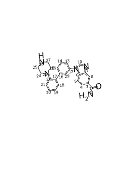 NC(=O)c1ccc2c(c1)ncn2-c1cccc(-c2ccccc2N2CCNCC2)c1